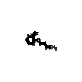 C=CCCOc1ccccc1C(C)=O